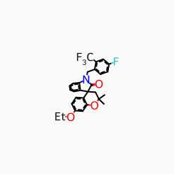 CCOc1ccc2c(c1)OC(C)(C)CC21C(=O)N(Cc2ccc(F)cc2C(F)(F)F)c2ccccc21